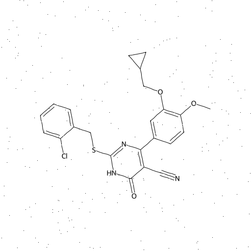 COc1ccc(-c2nc(SCc3ccccc3Cl)[nH]c(=O)c2C#N)cc1OCC1CC1